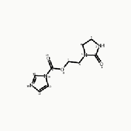 O=C1NCCN1CCOC(=O)n1ccnc1